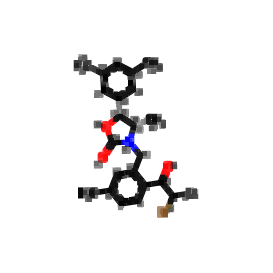 CCC(Br)C(=O)c1ccc(C)cc1CN1C(=O)O[C@H](c2cc(C)cc(C(F)(F)F)c2)[C@@H]1C